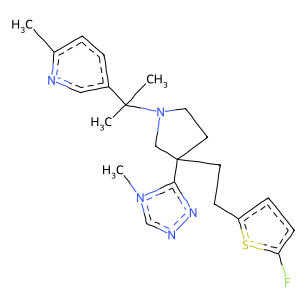 Cc1ccc(C(C)(C)N2CCC(CCc3ccc(F)s3)(c3nncn3C)C2)cn1